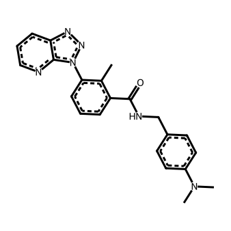 Cc1c(C(=O)NCc2ccc(N(C)C)cc2)cccc1-n1nnc2cccnc21